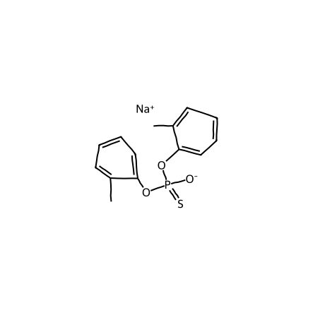 Cc1ccccc1OP([O-])(=S)Oc1ccccc1C.[Na+]